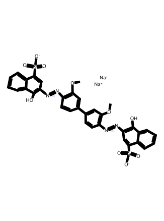 COc1cc(-c2ccc(/N=N/c3cc(S(=O)(=O)[O-])c4ccccc4c3O)c(OC)c2)ccc1/N=N/c1cc(S(=O)(=O)[O-])c2ccccc2c1O.[Na+].[Na+]